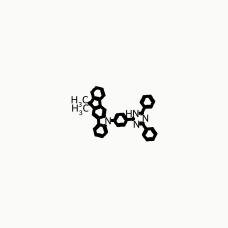 CC1(C)C2=C(C=CCC2)c2cc3c(cc21)c1ccccc1n3-c1ccc(C2N=C(c3ccccc3)N=C(c3ccccc3)N2)cc1